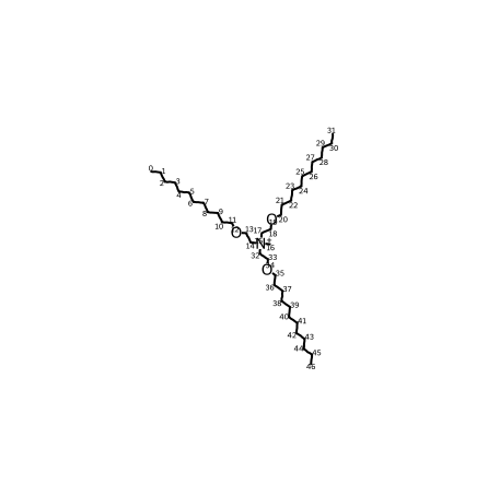 CCCCCCCCCCCCOCC[N+](C)(CCOCCCCCCCCCCCC)CCOCCCCCCCCCCCC